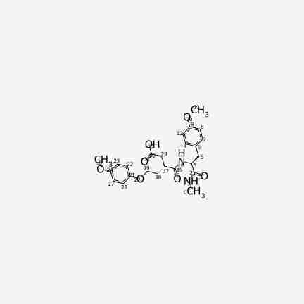 CNC(=O)[C@H](Cc1ccc(OC)cc1)NC(=O)[C@H](CCOc1ccc(OC)cc1)CC(=O)O